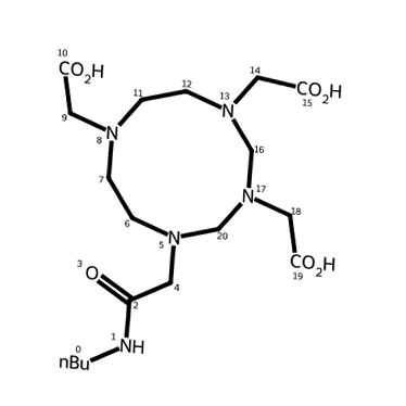 CCCCNC(=O)CN1CCN(CC(=O)O)CCN(CC(=O)O)CN(CC(=O)O)C1